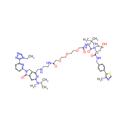 CCn1cnnc1-c1cccc(N2Cc3c(cc(N(C)C(C)C)nc3CNCCNC(=O)COCCOCCOCC(=O)N[C@H](C(=O)N3C[C@H](O)C[C@H]3C(=O)NCc3ccc(-c4scnc4C)cc3)C(C)(C)C)C2=O)n1